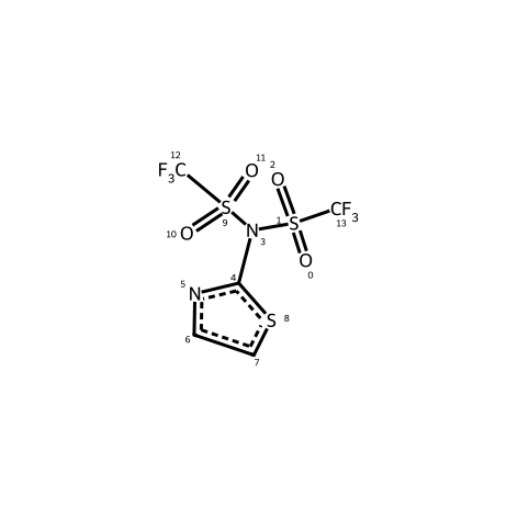 O=S(=O)(N(c1nccs1)S(=O)(=O)C(F)(F)F)C(F)(F)F